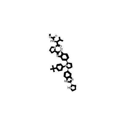 COC(=O)NC(C(=O)N1CCCC1c1nc2cc([C@H]3CC[C@H](c4ccc5[nH]c([C@@H]6CCCN6)nc5c4)N3c3ccc(C(C)(C)C)cc3)ccc2[nH]1)C(C)C